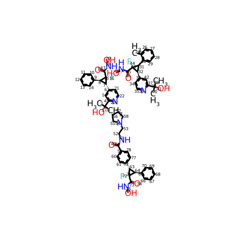 CC(C)(O)c1cc([C@@H]2[C@@H](c3ccccc3)[C@@]2(F)C(=O)NO)ccn1.Cc1ccccc1C1[C@@H](c2ccnc(C(C)(C)O)c2)[C@]1(F)C(=O)NO.O=C(NCCN1CCCC1)c1ccc([C@@H]2[C@@H](c3ccccc3)[C@@]2(F)C(=O)NO)cc1